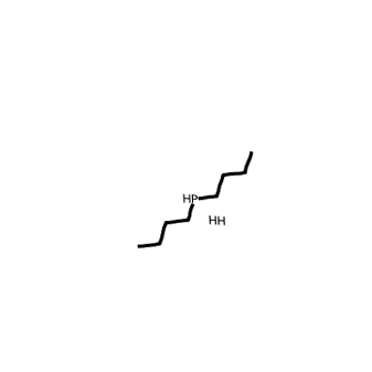 CCCCPCCCC.[HH]